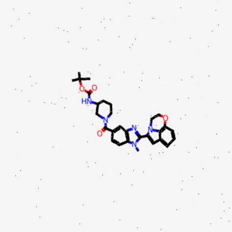 Cn1c(-c2cc3cccc4c3n2CCO4)nc2cc(C(=O)N3CCCC(NC(=O)OC(C)(C)C)C3)ccc21